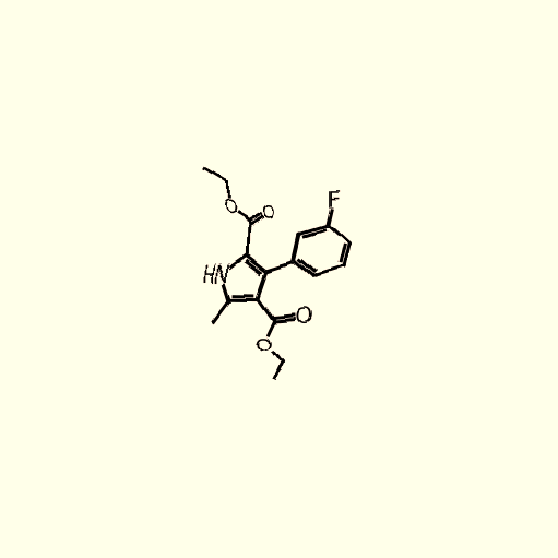 CCOC(=O)c1[nH]c(C)c(C(=O)OCC)c1-c1cccc(F)c1